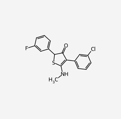 CNC1=C(c2cccc(Cl)c2)C(=O)C(c2cccc(F)c2)S1